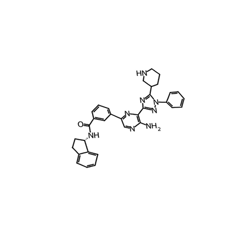 Nc1ncc(-c2cccc(C(=O)N[C@H]3CCc4ccccc43)c2)nc1-c1nc(C2CCCNC2)n(-c2ccccc2)n1